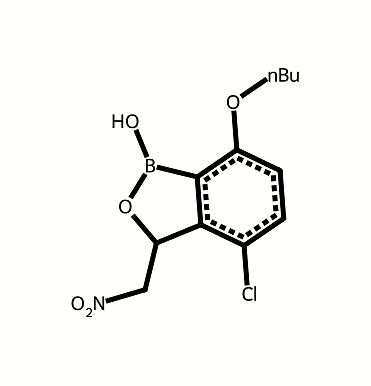 CCCCOc1ccc(Cl)c2c1B(O)OC2C[N+](=O)[O-]